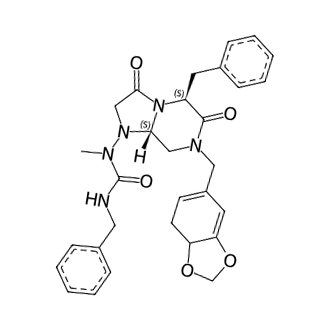 CN(C(=O)NCc1ccccc1)N1CC(=O)N2[C@@H](Cc3ccccc3)C(=O)N(CC3=CCC4OCOC4=C3)C[C@@H]21